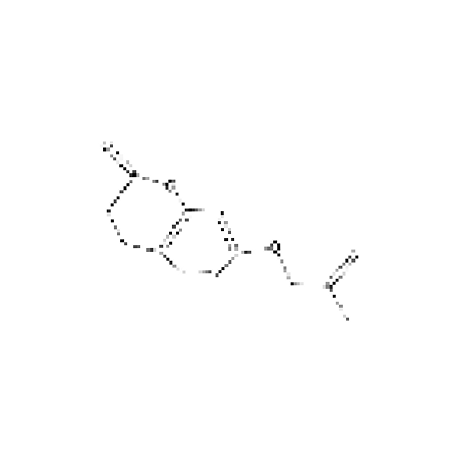 C=C(C)COc1ccc2c(c1)OC(=O)CC2